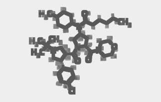 CCCCCC(=O)N(C1CCC(C)CC1)[C@H]1C[C@@H](C(=O)N2CCOCC2)N(C(=O)[C@@H]2CN(C(C)(C)C)C[C@H]2c2ccc(Cl)cc2)C1